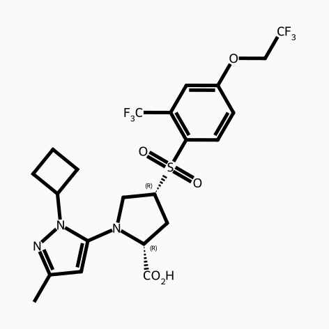 Cc1cc(N2C[C@H](S(=O)(=O)c3ccc(OCC(F)(F)F)cc3C(F)(F)F)C[C@@H]2C(=O)O)n(C2CCC2)n1